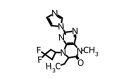 CCC1C(=O)N(C)c2cnc(-n3ccnc3)nc2N1C1CC(F)(F)C1